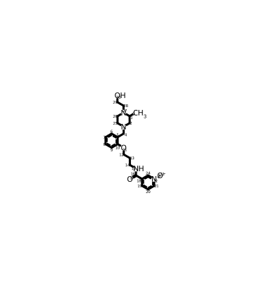 CC1CN(Cc2ccccc2OCCCNC(=O)c2ccc[n+]([O-])c2)CCN1CCO